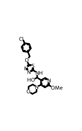 COc1cc(N2CCOCC2)c(C(O)Nc2nnc(OCc3ccc(Cl)cc3)s2)cn1